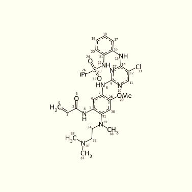 C=CC(=O)Nc1cc(Nc2ncc(Cl)c(Nc3ccccc3NS(=O)(=O)C(C)C)n2)c(OC)cc1N(C)CCN(C)C